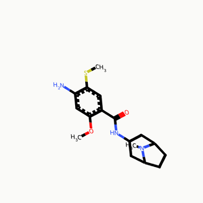 COc1cc(N)c(SC)cc1C(=O)NC1CC2CCC(C1)N2C